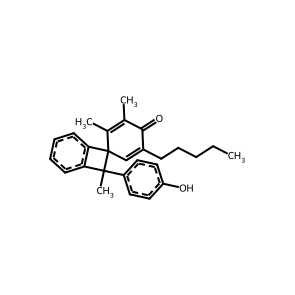 CCCCCC1=CC2(C(C)=C(C)C1=O)c1ccccc1C2(C)c1ccc(O)cc1